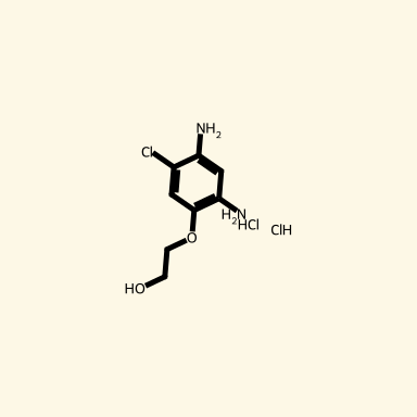 Cl.Cl.Nc1cc(N)c(OCCO)cc1Cl